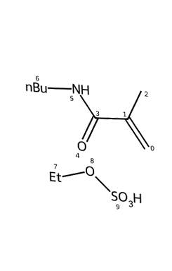 C=C(C)C(=O)NCCCC.CCOS(=O)(=O)O